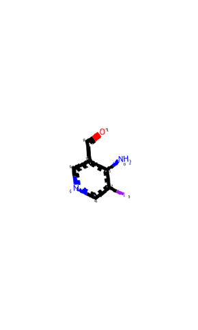 Nc1c(I)cncc1C=O